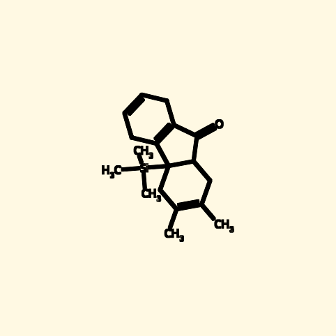 CC1=C(C)CC2([Si](C)(C)C)C3=C(CC=CC3)C(=O)C2C1